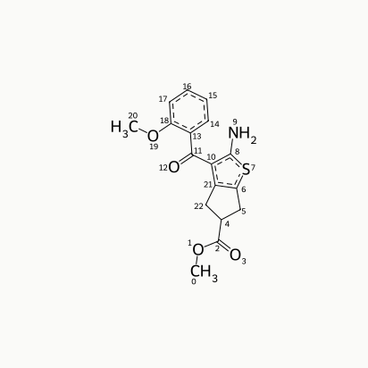 COC(=O)C1Cc2sc(N)c(C(=O)c3ccccc3OC)c2C1